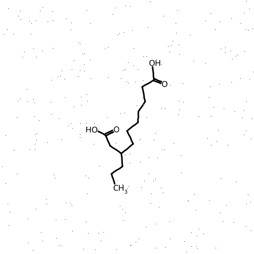 CCCC(CCCCCCC(=O)O)CC(=O)O